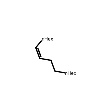 [CH2]CCCCCCC/C=C\CCCCCC